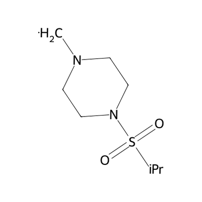 [CH2]N1CCN(S(=O)(=O)C(C)C)CC1